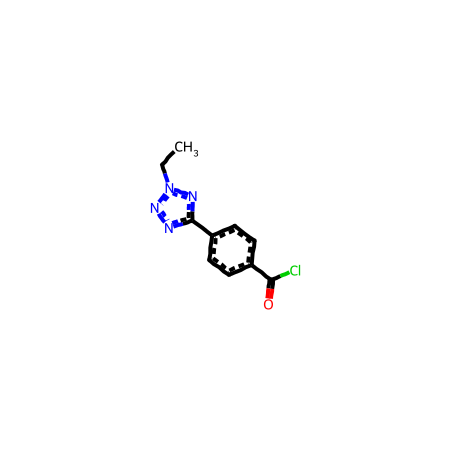 CCn1nnc(-c2ccc(C(=O)Cl)cc2)n1